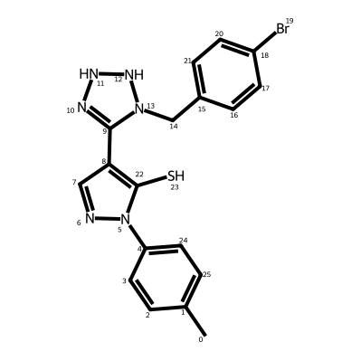 Cc1ccc(-n2ncc(C3=NNNN3Cc3ccc(Br)cc3)c2S)cc1